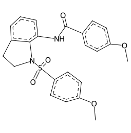 COc1ccc(C(=O)Nc2cccc3c2N(S(=O)(=O)c2ccc(OC)cc2)CC3)cc1